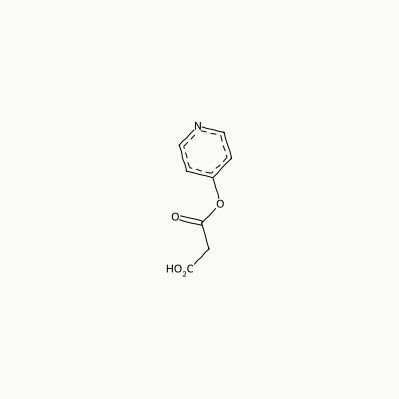 O=C(O)CC(=O)Oc1ccncc1